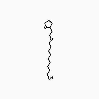 N#CCCCCCCCCCOCCC1CCCO1